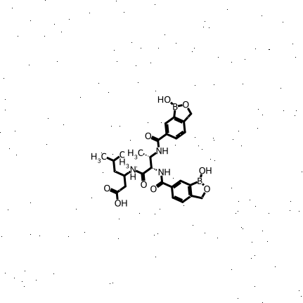 CC(C)CC(CC(=O)O)NC(=O)[C@@H](NC(=O)c1ccc2c(c1)B(O)OC2)[C@H](C)NC(=O)c1ccc2c(c1)B(O)OC2